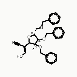 C[C@]1(OCc2ccccc2)C(C(C#N)=CO)O[C@H](COCc2ccccc2)[C@H]1OCc1ccccc1